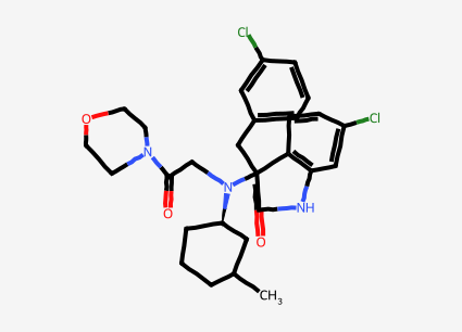 CC1CCC[C@@H](N(CC(=O)N2CCOCC2)C2(Cc3cccc(Cl)c3)C(=O)Nc3cc(Cl)ccc32)C1